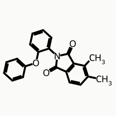 Cc1ccc2c(c1C)C(=O)N(c1ccccc1Oc1ccccc1)C2=O